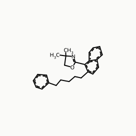 CC1(C)COC(c2c(CCCCCc3ccccc3)ccc3ccccc23)=N1